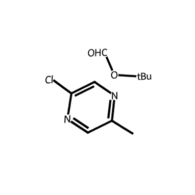 CC(C)(C)OC=O.Cc1cnc(Cl)cn1